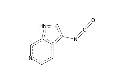 O=C=Nc1c[nH]c2cnccc12